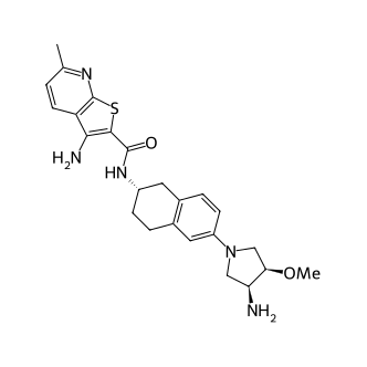 CO[C@@H]1CN(c2ccc3c(c2)CC[C@H](NC(=O)c2sc4nc(C)ccc4c2N)C3)C[C@@H]1N